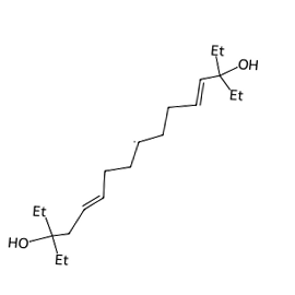 CCC(O)(C=CCC[CH]CCC=CCC(O)(CC)CC)CC